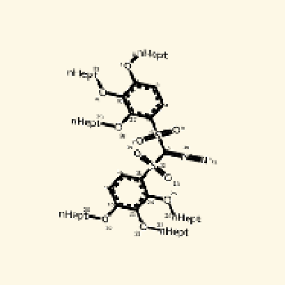 CCCCCCCOc1ccc(S(=O)(=O)C(=[N+]=[N-])S(=O)(=O)c2ccc(OCCCCCCC)c(OCCCCCCC)c2OCCCCCCC)c(OCCCCCCC)c1OCCCCCCC